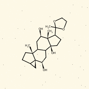 CC1(C2CC[C@]3(O)C4C[C@@H](O)[C@]56CC5CC[C@]6(C)C4C[C@@H](O)[C@]23C)OCCO1